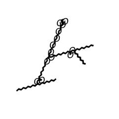 CCCCCCCCCC(CCCCCCCC)OC(=O)CCCCCCCOCC(COCCOCCOCCOCCOS(C)(=O)=O)OCCCCCCCC(=O)OC(CCCCCCCC)CCCCCCCC